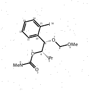 CNC(=O)O[C@@H](C(C)C)[C@@H](OCOC)c1ccccc1I